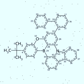 CC(C)(C)c1ccc2c(c1)Oc1cc(-c3ccccc3-c3ccccc3)cc3c1B2c1cccc2c4ccccc4n-3c12